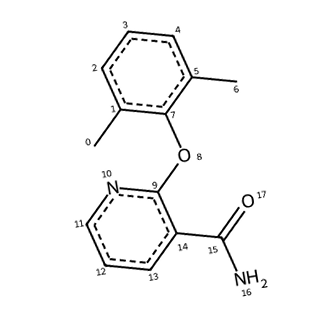 Cc1cccc(C)c1Oc1ncccc1C(N)=O